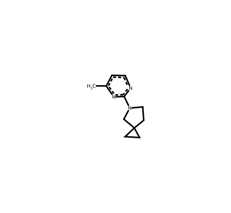 Cc1ccnc(N2CCC3(CC3)C2)n1